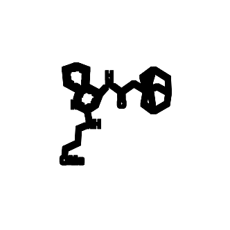 COCCCNc1cc(NC(=O)CC23CC4CC(CC(C4)C2)C3)c2ccccc2n1